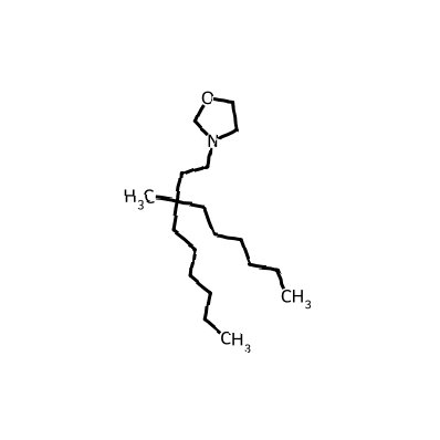 CCCCCCC(C)(CCCCCC)CCN1CCOC1